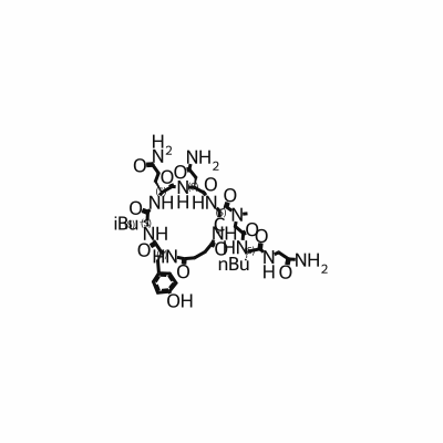 CCCC[C@H](NC(=O)CN(C)C(=O)[C@@H]1CNC(=O)CCC(=O)N[C@@H](Cc2ccc(O)cc2)C(=O)N[C@@H]([C@@H](C)CC)C(=O)N[C@@H](CCC(N)=O)C(=O)N[C@@H](CC(N)=O)C(=O)N1)C(=O)NCC(N)=O